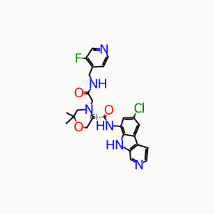 CC1(C)CN(CC(=O)NCc2ccncc2F)[C@H](C(=O)Nc2cc(Cl)cc3c2[nH]c2cnccc23)CO1